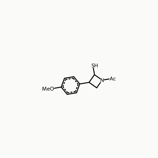 COc1ccc(C2CN(C(C)=O)C2S)cc1